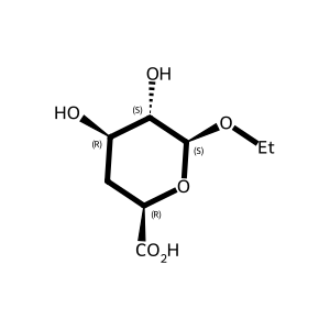 CCO[C@H]1O[C@@H](C(=O)O)C[C@@H](O)[C@@H]1O